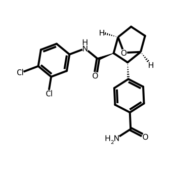 NC(=O)c1ccc([C@@H]2[C@@H](C(=O)Nc3ccc(Cl)c(Cl)c3)[C@H]3CC[C@@H]2O3)cc1